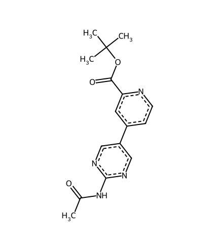 CC(=O)Nc1ncc(-c2ccnc(C(=O)OC(C)(C)C)c2)cn1